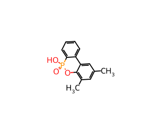 Cc1cc(C)c2c(c1)-c1ccccc1P(=O)(O)O2